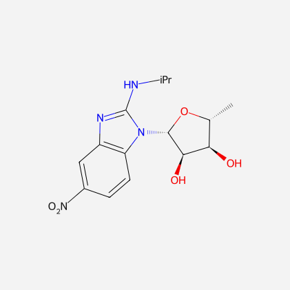 CC(C)Nc1nc2cc([N+](=O)[O-])ccc2n1[C@@H]1O[C@H](C)[C@@H](O)[C@H]1O